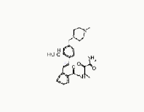 CC(NC(=O)c1ccccc1/C=C/c1ccc(CN2CCN(C)CC2)cc1)C(=O)C(N)=O.Cl.Cl